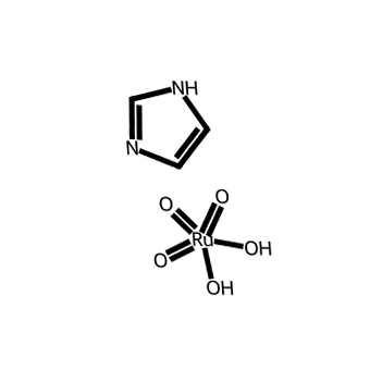 [O]=[Ru](=[O])(=[O])([OH])[OH].c1c[nH]cn1